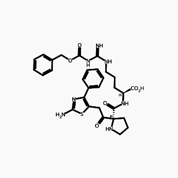 N=C(NCCC[C@H](NC(=O)[C@]1(C(=O)Cc2sc(N)nc2-c2ccccc2)CCCN1)C(=O)O)NC(=O)OCc1ccccc1